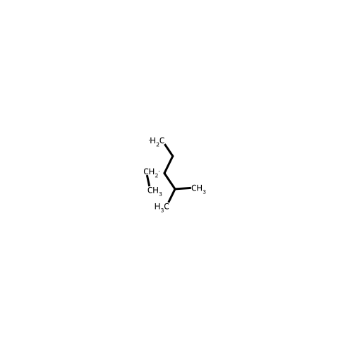 [CH2]C.[CH2]CCC(C)C